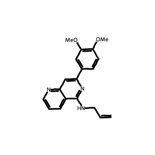 C=CCNc1nc(-c2ccc(OC)c(OC)c2)cc2ncccc12